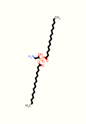 CCCCCCCCCCCCCCCC(=O)OP(=O)(OC(=O)CCCCCCCCCCCCCCC)C(O)CN